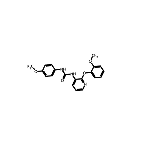 O=C(Nc1ccc(OC(F)(F)F)cc1)Nc1cccnc1Oc1ccccc1OC(F)(F)F